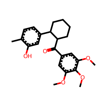 COc1cc(C(=O)C2CCCCC2c2ccc(C)c(O)c2)cc(OC)c1OC